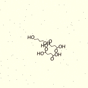 O=C(O)CCC(=O)O.O=C(O)CCC(=O)O.OCCCCO